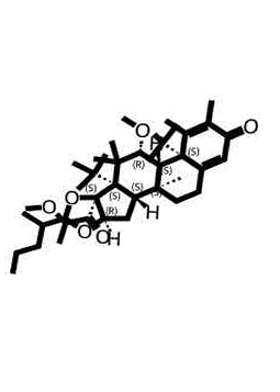 CCCC(C)C1O[C@@H]2C[C@H]3[C@]4(C)CCC5=CC(=O)C(C)=C(C)[C@]5(C(C)(C)C)[C@H]4[C@@H](OC)C(C)(C)[C@]3(C(C)(C)C)[C@]2(C(=O)C(C)OC)O1